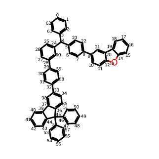 c1ccc(C(c2ccc(-c3ccc4oc5ccccc5c4c3)cc2)c2cccc(-c3ccc(-c4ccc5c(c4)-c4ccccc4C5(c4ccccc4)c4ccccc4)cc3)c2)cc1